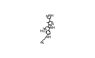 Cc1c(-c2cn[nH]c2)cnc2[nH]c(-c3ccc(NCCCN(C)C)cc3)c(CC(C)(C)O)c12